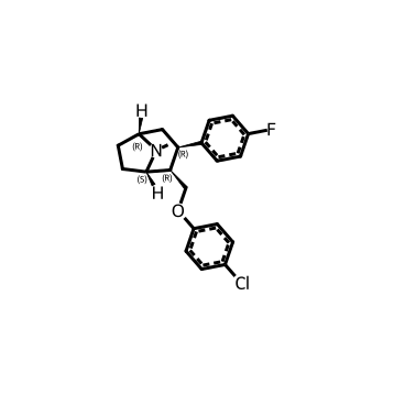 CN1[C@@H]2CC[C@H]1[C@H](COc1ccc(Cl)cc1)[C@H](c1ccc(F)cc1)C2